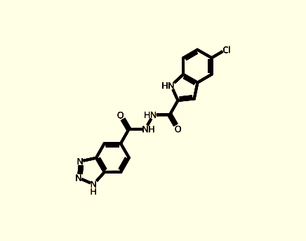 O=C(NNC(=O)c1cc2cc(Cl)ccc2[nH]1)c1ccc2[nH]nnc2c1